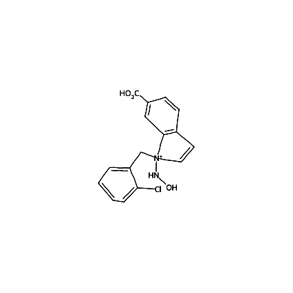 O=C(O)c1ccc2c(c1)[N+](Cc1ccccc1Cl)(NO)C=C2